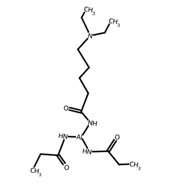 CCC(=O)[NH][Al]([NH]C(=O)CC)[NH]C(=O)CCCCN(CC)CC